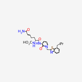 CC(C)Cc1cccc2nc(Cn3cccc(NC(=O)C(CC/C=C/C(N)=O)NC(=O)O)c3=O)sc12